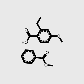 CCc1cc(OC)ccc1C(=O)O.COC(=O)c1ccccc1